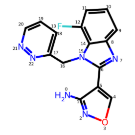 Nc1nocc1-c1nc2cccc(F)c2n1Cc1cccnn1